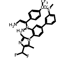 Cc1nc(C(F)F)c(C)n1-c1ccc(-c2cccc([S+](C)[O-])c2)cc1N(N)/C(=C\N)c1ccc(OC(F)(F)F)cc1